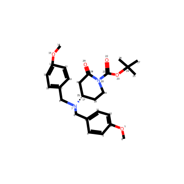 COc1ccc(CN(Cc2ccc(OC)cc2)[C@H]2CCN(C(=O)OC(C)(C)C)C(=O)C2)cc1